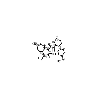 COC1CCN(C2CCNCC2NC(=O)C(C2=NCC(Cl)CCC2C(C)C)C(N)N)CC1